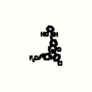 O=C(Nc1ccc(Cl)cc1N1CCN(CCC(F)(F)F)CC1)c1ccc(CN[C@H]2CCCC[C@@H]2O)cc1F